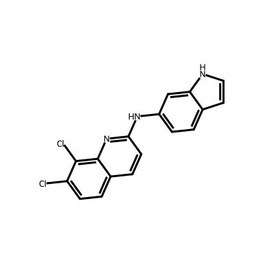 Clc1ccc2ccc(Nc3ccc4cc[nH]c4c3)nc2c1Cl